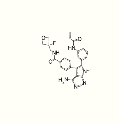 C=CC(=O)Nc1cccc(-c2c(-c3ccc(C(=O)NCC4(F)COC4)cc3)c3c(N)ncnc3n2C)c1